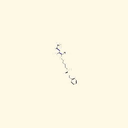 C=N/C(NCCCCNC(=O)OCc1ccccc1)=C(N)\C=C(/C)C(N)=O